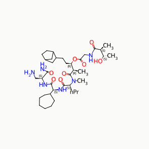 CCC[C@@H](C(=O)N[C@H](C(=O)N[C@@H](CN)C(N)=O)C1CCCCCC1)N(C)C(=O)[C@H](C)[C@@H](CCC1CC2CCC1C2)OC(=O)CNC(=O)[C@@H](C)[C@H](C)O